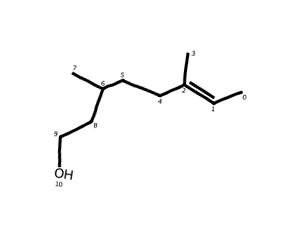 C/C=C(\C)CCC(C)CCO